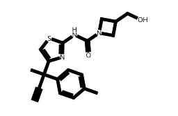 C#CC(C)(c1ccc(C)cc1)c1csc(NC(=O)N2CC(CO)C2)n1